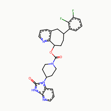 O=C(OC1CCC(c2cccc(F)c2F)Cc2cccnc21)N1CCC(n2c(=O)[nH]c3ncccc32)CC1